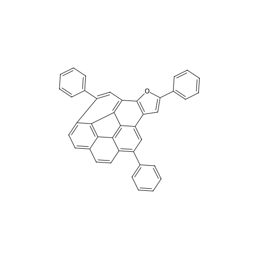 c1ccc(-c2cc3c4cc(-c5ccccc5)c5ccc6ccc7c(-c8ccccc8)cc(c3o2)c2c7c6c5c42)cc1